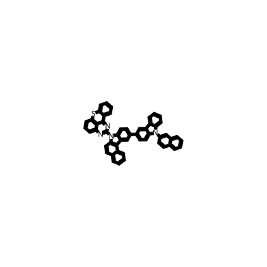 c1ccc2c(c1)Sc1cccc3nc(-n4c5ccc(-c6ccc7c(c6)c6ccccc6n7-c6ccc7ccccc7c6)cc5c5c6ccccc6ccc54)nc-2c13